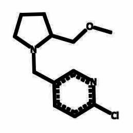 COCC1CCCN1Cc1ccc(Cl)nc1